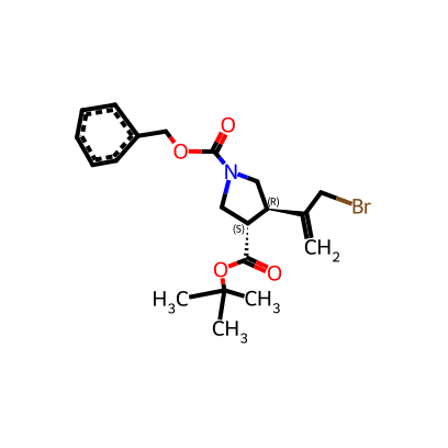 C=C(CBr)[C@@H]1CN(C(=O)OCc2ccccc2)C[C@H]1C(=O)OC(C)(C)C